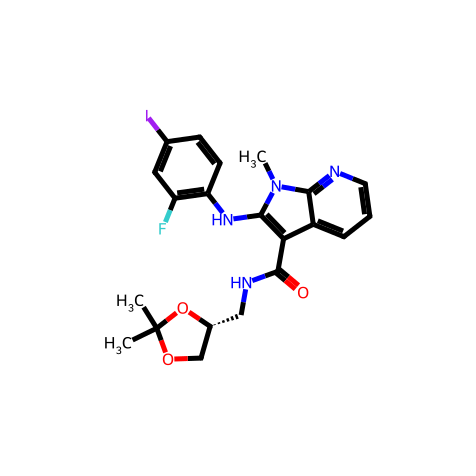 Cn1c(Nc2ccc(I)cc2F)c(C(=O)NC[C@@H]2COC(C)(C)O2)c2cccnc21